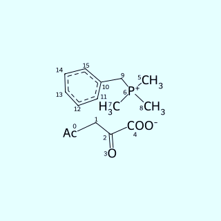 CC(=O)CC(=O)C(=O)[O-].C[P+](C)(C)Cc1ccccc1